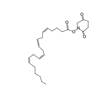 CCCCC/C=C\C/C=C\C/C=C\C/C=C\CCCC(=O)ON1CC(=O)CCC1=O